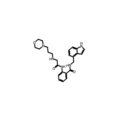 O=C(CNCCCN1CCOCC1)Nc1ccccc1C(=O)NCc1cccc2[nH]ccc12